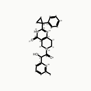 Cc1cccc(C(O)C(=O)N2CCc3nc(C4(c5ccccc5)CC4)[nH]c(=O)c3C2)n1